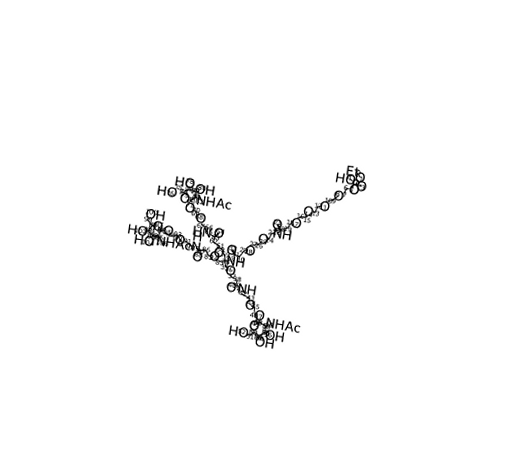 CCOP(=O)(O)OCCOCCOCCOCCOCCC(=O)NCCOCCOCCC(=O)NC(COCCC(=O)NCCOCCO[C@@H]1O[C@H](CO)[C@H](O)[C@H](O)[C@H]1NC(C)=O)(COCCC(=O)NCCOCCO[C@@H]1O[C@H](CO)[C@H](O)[C@H](O)[C@H]1NC(C)=O)COCCC(=O)NCCOCCO[C@@H]1O[C@H](CO)[C@H](O)[C@H](O)[C@H]1NC(C)=O